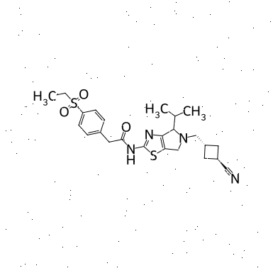 CCS(=O)(=O)c1ccc(CC(=O)Nc2nc3c(s2)CN(C[C@H]2C[C@H](C#N)C2)C3C(C)C)cc1